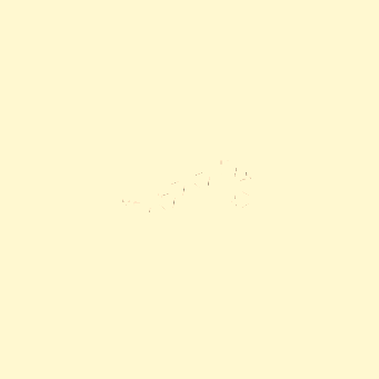 CCCc1onc(-c2c(C)ccnc2C)c1COc1ccc(-c2ccc3nc(C(=O)OC)ccc3c2)cc1